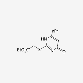 CCCc1cc(=O)nc(SCC(=O)OCC)[nH]1